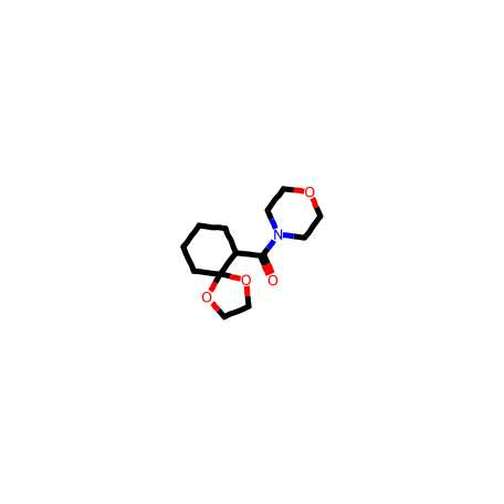 O=C(C1CCCCC12OCCO2)N1CCOCC1